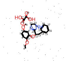 CCOc1ccc(OC)cc1OC(Cc1ccccc1)C1=NCCN1.O=C(O)C(=O)O